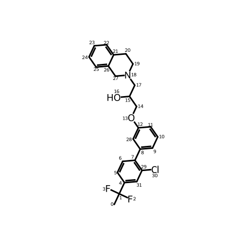 CC(F)(F)c1ccc(-c2cccc(OCC(O)CN3CCc4ccccc4C3)c2)c(Cl)c1